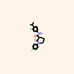 CC(C)c1ccc(NC(=O)C2CCCCN(c3ccc(F)cc3)C2=O)cc1F